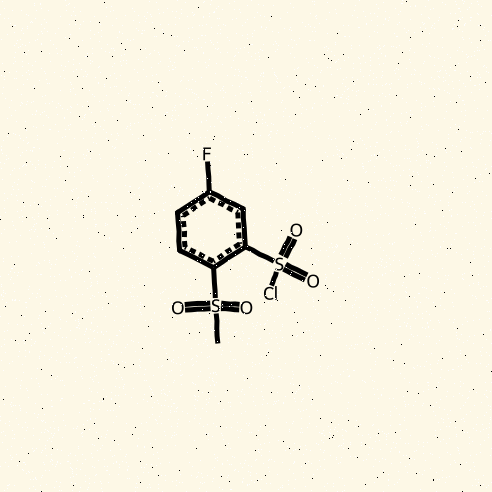 CS(=O)(=O)c1ccc(F)cc1S(=O)(=O)Cl